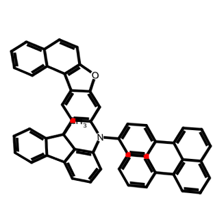 CC12c3ccccc3-c3cccc(c31)N(c1ccc(-c3cccc4cccc(-c5ccccc5)c34)cc1)c1cc3oc4ccc5ccccc5c4c3cc12